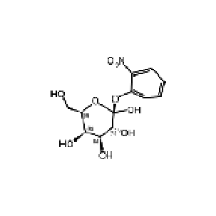 O=[N+]([O-])c1ccccc1OC1(O)O[C@H](CO)[C@H](O)[C@H](O)[C@H]1O